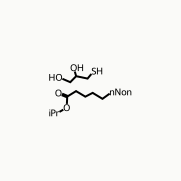 CCCCCCCCCCCCCC(=O)OC(C)C.OCC(O)CS